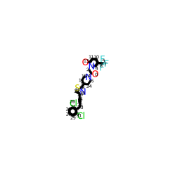 O=C(Cn1cc(C(F)(F)F)ccc1=O)N1CCC(c2nc(C#CCc3c(Cl)cccc3Cl)cs2)CC1